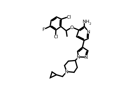 CC(Oc1cc(-c2cnn(C3CCN(CC4CC4)CC3)c2)cnc1N)c1c(Cl)ccc(F)c1Cl